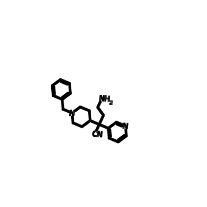 N#CC(CCN)(c1cccnc1)C1CCN(Cc2ccccc2)CC1